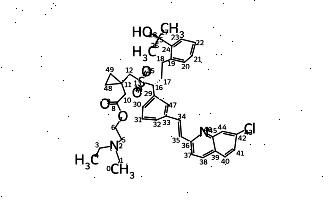 CCN(CC)CCOC(=O)CC1(CS(=O)(=O)[C@H](CCc2ccccc2C(C)(C)O)c2cccc(C=Cc3ccc4ccc(Cl)cc4n3)c2)CC1